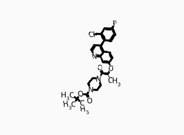 C[C@@H](Oc1ccc2c(-c3ccc(F)cc3Cl)ccnc2c1)C(=O)N1CCN(C(=O)OC(C)(C)C)CC1